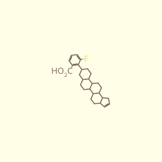 O=C(O)c1cccc(F)c1C1CCC2C(CCC3C2CCC2C4CC=CC4CCC23)C1